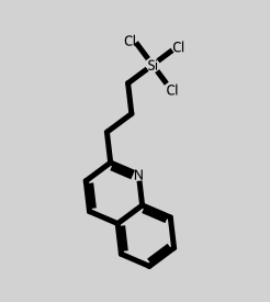 Cl[Si](Cl)(Cl)CCCc1ccc2ccccc2n1